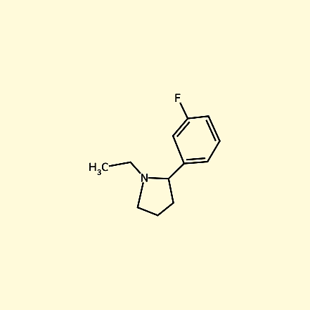 CCN1CCCC1c1cccc(F)c1